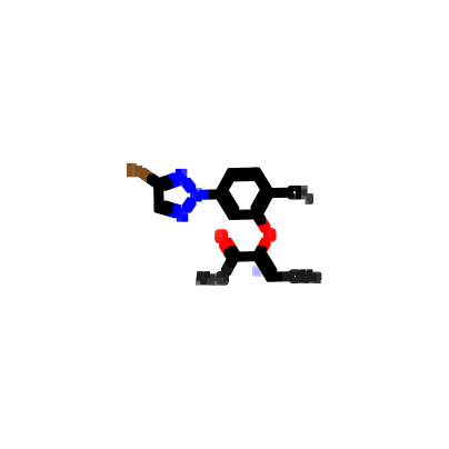 CO/C=C(\Oc1cc(-n2ncc(Br)n2)ccc1C)C(=O)OC